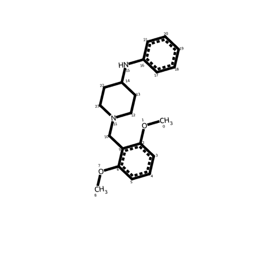 COc1cccc(OC)c1CN1CCC(Nc2ccccc2)CC1